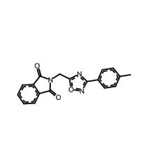 Cc1ccc(-c2noc(CN3C(=O)c4ccccc4C3=O)n2)cc1